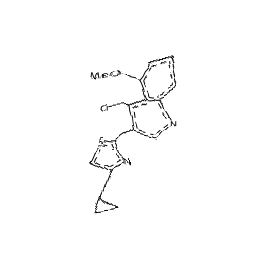 COc1cccc2n[c]c(-c3nc(C4CC4)cs3)c(Cl)c12